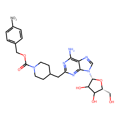 Nc1nc(CC2CCN(C(=O)OCc3ccc([N+](=O)[O-])cc3)CC2)nc2c1ncn2[C@@H]1O[C@H](CO)C(O)C1O